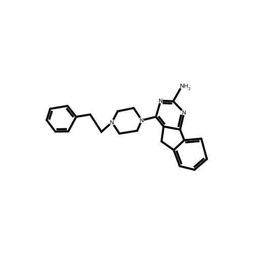 Nc1nc2c(c(N3CCN(CCc4ccccc4)CC3)n1)Cc1ccccc1-2